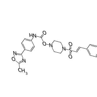 Cc1nc(-c2ccc(NC(=O)ON3CCN(S(=O)(=O)C=Cc4ccccc4)CC3)cc2)no1